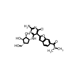 CN(C)C(=O)c1ccc2cc(-c3c(Cl)nc(N)nc3N[C@@H]3C[C@H](CO)[C@@H](O)[C@H]3O)oc2c1